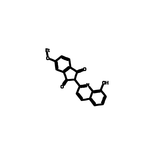 CCOc1ccc2c(c1)C(=O)C(c1ccc3cccc(O)c3n1)C2=O